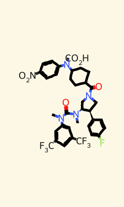 CN(C(=O)N(C)[C@@H]1CN(C(=O)C2CCC(N(C(=O)O)c3ccc([N+](=O)[O-])cc3)CC2)C[C@H]1c1ccc(F)cc1)c1cc(C(F)(F)F)cc(C(F)(F)F)c1